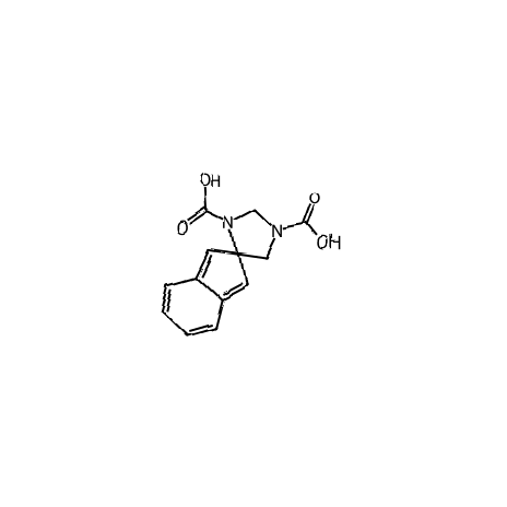 O=C(O)N1CN(C(=O)O)C2(C=c3ccccc3=C2)C1